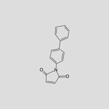 O=C1C=CC(=O)N1c1ccc(-c2ccccc2)cc1